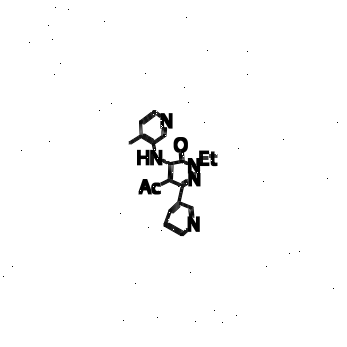 CCn1nc(-c2cccnc2)c(C(C)=O)c(Nc2cnccc2C)c1=O